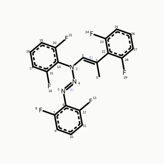 C/C(=C\N(/N=N/c1c(F)cccc1F)c1c(F)cccc1F)c1c(F)cccc1F